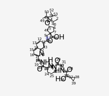 CC(C)[Si](OC1CCC(/C=C/c2ccc3ccc([C@@H](C)NC(=O)[C@@H]4CCCN(C(=O)[C@H](C)NC(=O)[C@@H](O)C5CC5)N4)nc3c2)(C(=O)O)C1)(C(C)C)C(C)C